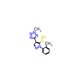 Cc1ccccc1-n1ncc(-c2nnn(C)n2)c1SS